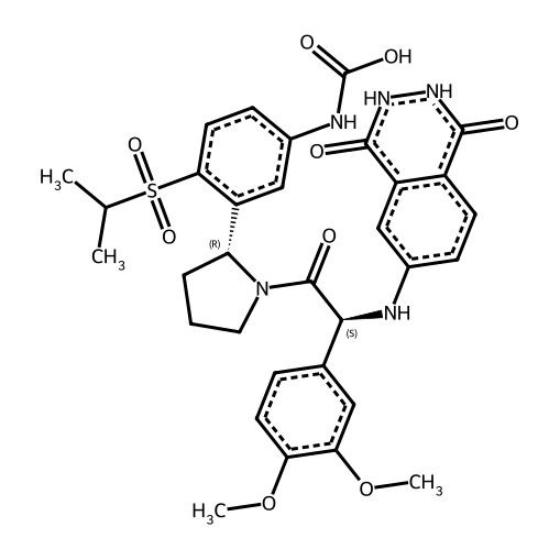 COc1ccc([C@H](Nc2ccc3c(=O)[nH][nH]c(=O)c3c2)C(=O)N2CCC[C@@H]2c2cc(NC(=O)O)ccc2S(=O)(=O)C(C)C)cc1OC